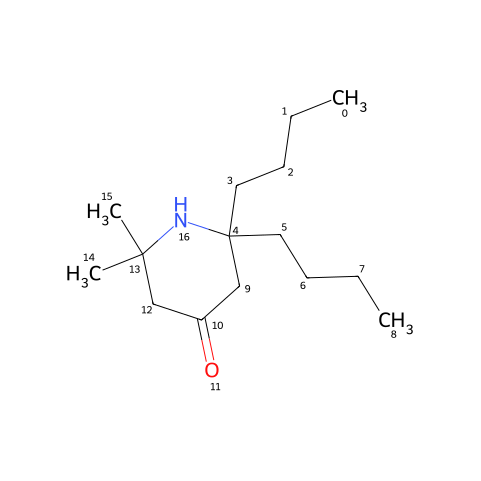 CCCCC1(CCCC)CC(=O)CC(C)(C)N1